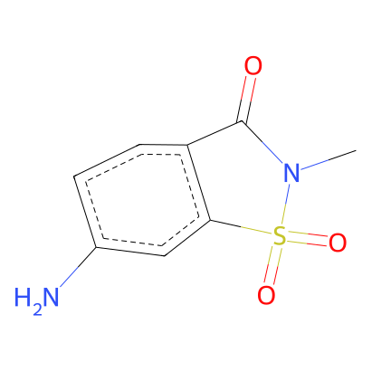 CN1C(=O)c2ccc(N)cc2S1(=O)=O